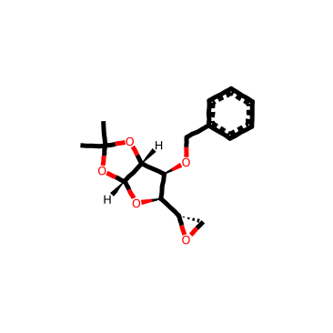 CC1(C)O[C@H]2O[C@H]([C@@H]3CO3)[C@H](OCc3ccccc3)[C@H]2O1